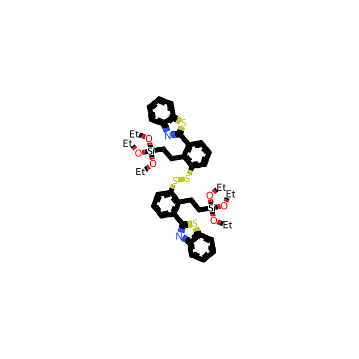 CCO[Si](CCc1c(SSc2cccc(-c3nc4ccccc4s3)c2CC[Si](OCC)(OCC)OCC)cccc1-c1nc2ccccc2s1)(OCC)OCC